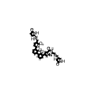 COc1nc(-c2cccc(-c3cccc(-c4cc5c(=O)n(C)c(CNC[C@H]6CNC(=O)C6)nn5c4)c3Cl)c2Cl)ccc1CNC[C@@H]1CCC(=O)N1